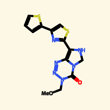 COCN1N=NC2=C(c3nc(-c4cccs4)cs3)NCN2C1=O